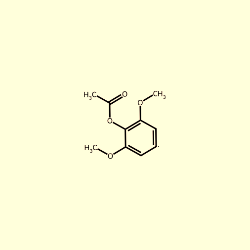 COc1c[c]cc(OC)c1OC(C)=O